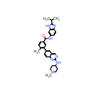 Cc1ccc(C(=O)Nc2ccc3nc(C(C)C)[nH]c3c2)cc1-c1ccc2nc(NC3CCN(C)CC3)ncc2c1